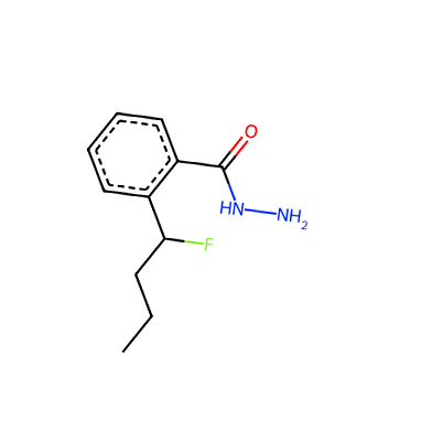 CCCC(F)c1ccccc1C(=O)NN